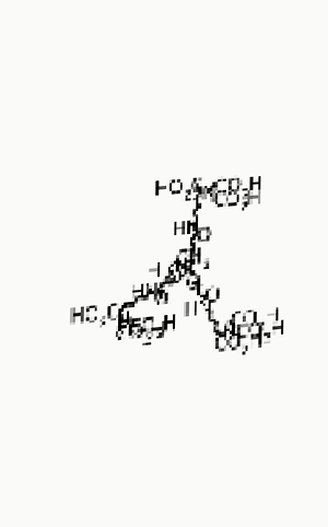 CN(C)C(COCCC(=O)NCCCCC(C(=O)O)N(CC(=O)O)CC(=O)O)(COCCC(=O)NCCCCC(C(=O)O)N(CC(=O)O)CC(=O)O)COCCC(=O)NCCCCC(C(=O)O)N(CC(=O)O)CC(=O)O